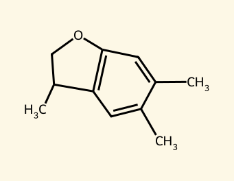 Cc1cc2c(cc1C)C(C)CO2